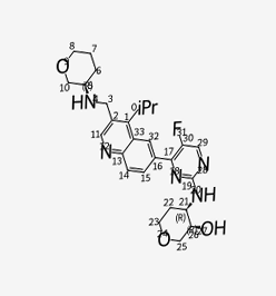 CC(C)c1c(CN[C@@H]2CCCOC2)cnc2ccc(-c3nc(N[C@@H]4CCOC[C@@H]4O)ncc3F)cc12